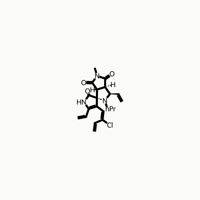 C=CC1=C(/C=C(/Cl)C=C)[C@@]2(C(=O)N1)[C@H]1C(=O)N(C)C(=O)[C@H]1[C@@H](C=C)N2CCC